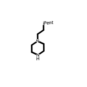 CCCC(C)CCN1CCNCC1